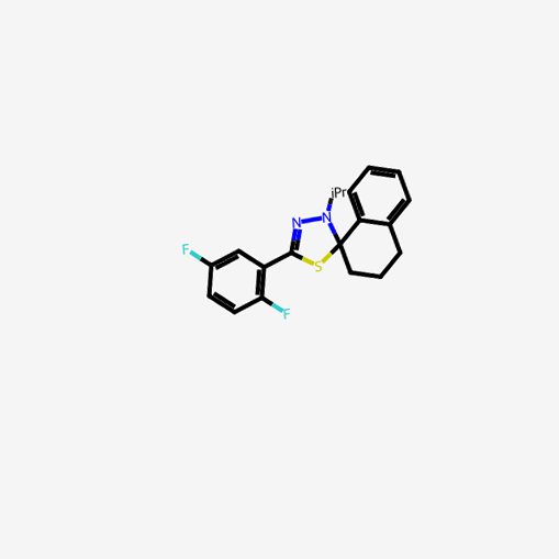 CC(C)N1N=C(c2cc(F)ccc2F)SC12CCCc1ccccc12